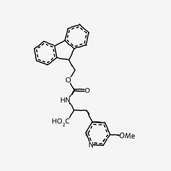 COc1cncc(CC(NC(=O)OCC2c3ccccc3-c3ccccc32)C(=O)O)c1